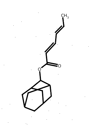 CC=CC=CC(=O)OC1C2CC3CC(C2)CC1C3